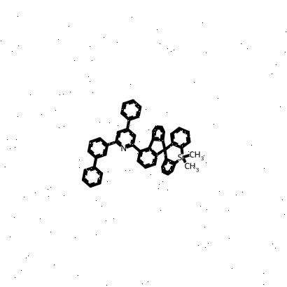 C[Si]1(C)c2ccccc2C2(c3ccccc3-c3c(-c4cc(-c5ccccc5)cc(-c5cccc(-c6ccccc6)c5)n4)cccc32)c2ccccc21